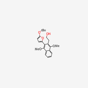 COc1c(CCO)c(-c2ccc(OC(C)(C)C)o2)c(OC)c2ccccc12